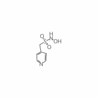 O=S(=O)(Cc1ccncc1)NO